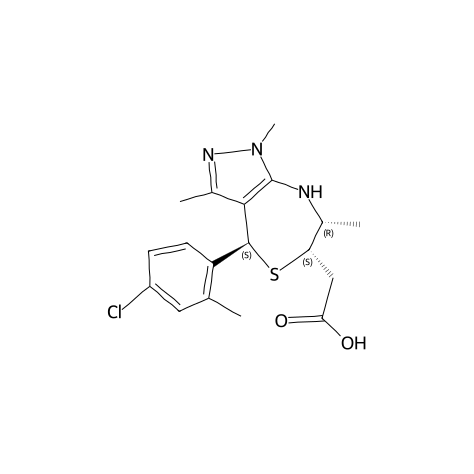 Cc1cc(Cl)ccc1[C@@H]1S[C@@H](CC(=O)O)[C@@H](C)Nc2c1c(C)nn2C